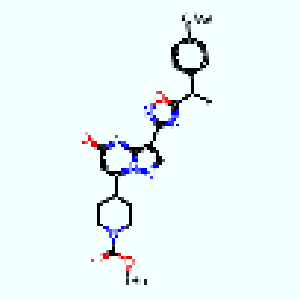 CCC(c1ccc(OC)cc1)c1nc(-c2cnn3c(C4CCN(C(=O)OC(C)(C)C)CC4)cc(=O)[nH]c23)no1